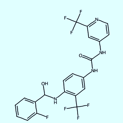 O=C(Nc1ccnc(C(F)(F)F)c1)Nc1ccc(NC(O)c2ccccc2F)c(C(F)(F)F)c1